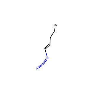 CCCCCC=CN=[N+]=[N-]